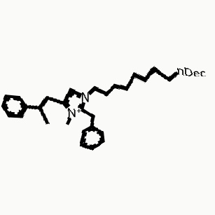 CCCCCCCCCCCCCCCCCCn1cc(CC(C)c2ccccc2)[n+](C)c1Cc1ccccc1